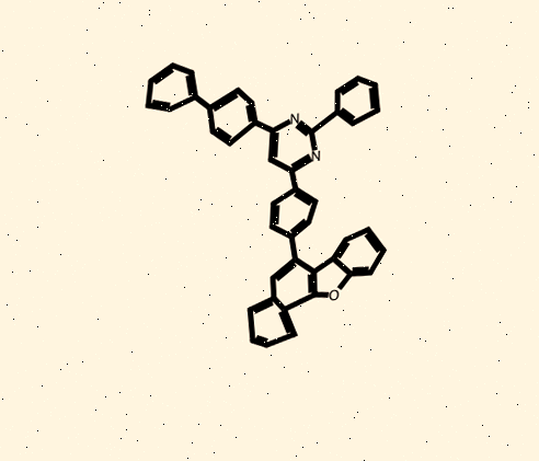 c1ccc(-c2ccc(-c3cc(-c4ccc(-c5cc6ccccc6c6oc7ccccc7c56)cc4)nc(-c4ccccc4)n3)cc2)cc1